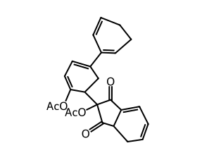 CC(=O)OC1=CC=C(C2=CCCC=C2)CC1C1(OC(C)=O)C(=O)C2=CC=CCC2C1=O